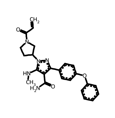 C=CC(=O)N1CCC(n2nc(-c3ccc(Oc4ccccc4)cc3)c(C(N)=O)c2NC)C1